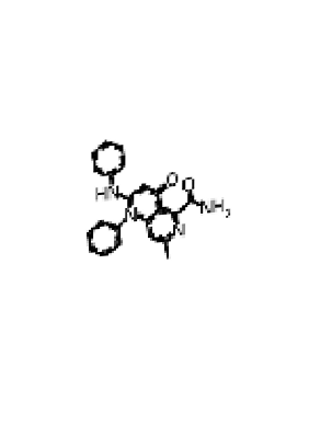 Cc1cc2c(c(C(N)=O)n1)c(=O)cc(Nc1ccccc1)n2-c1ccccc1